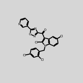 O=C(c1noc(-c2cccnc2)n1)c1c(Cl)n(Cc2ccc(Cl)cc2Cl)c2ccc(Cl)cc12